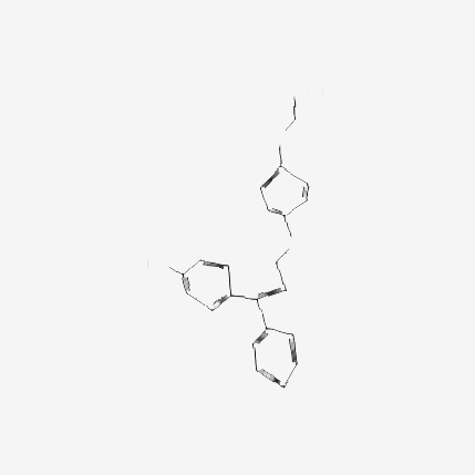 O=C(O)COc1ccc(SCC=C(c2ccccc2)c2ccc(C(F)(F)F)cc2)cc1